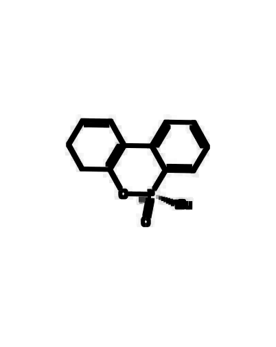 CC(C)(C)[P@]1(=O)OC2=C(C=CCC2)c2ccccc21